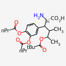 CCCC(=O)Oc1ccc(C(C(C)C(C)OC(=O)C(C)(C)C)[C@H](N)C(=O)O)cc1OC(=O)CCC